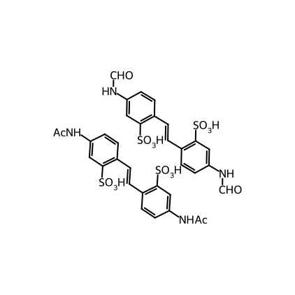 CC(=O)Nc1ccc(C=Cc2ccc(NC(C)=O)cc2S(=O)(=O)O)c(S(=O)(=O)O)c1.O=CNc1ccc(C=Cc2ccc(NC=O)cc2S(=O)(=O)O)c(S(=O)(=O)O)c1